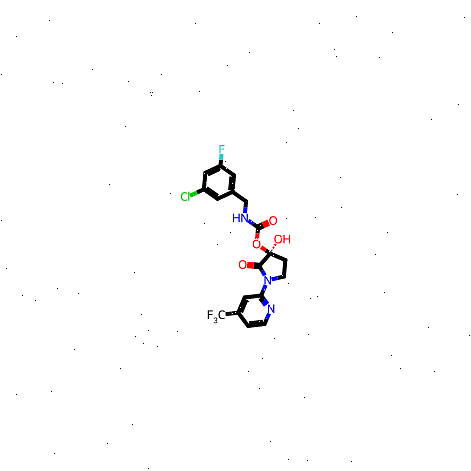 O=C(NCc1cc(F)cc(Cl)c1)O[C@@]1(O)CCN(c2cc(C(F)(F)F)ccn2)C1=O